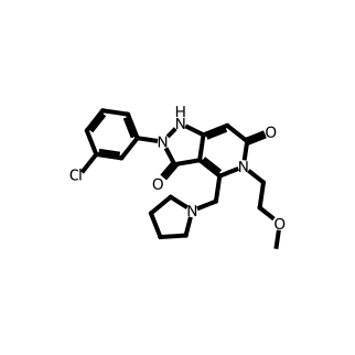 COCCn1c(CN2CCCC2)c2c(=O)n(-c3cccc(Cl)c3)[nH]c2cc1=O